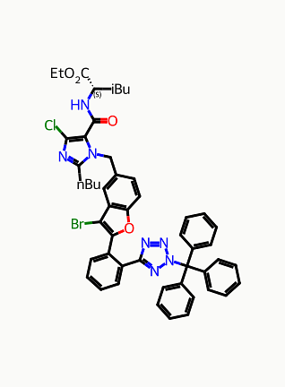 CCCCc1nc(Cl)c(C(=O)N[C@H](C(=O)OCC)C(C)CC)n1Cc1ccc2oc(-c3ccccc3-c3nnn(C(c4ccccc4)(c4ccccc4)c4ccccc4)n3)c(Br)c2c1